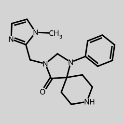 Cn1ccnc1CN1CN(c2ccccc2)C2(CCNCC2)C1=O